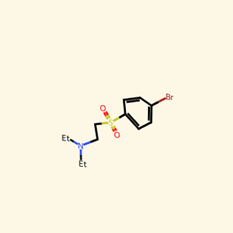 CCN(CC)CCS(=O)(=O)c1ccc(Br)cc1